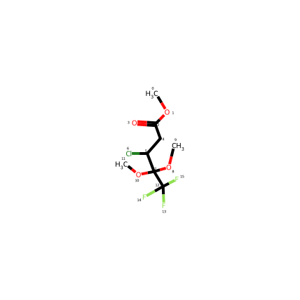 COC(=O)CC(Cl)C(OC)(OC)C(F)(F)F